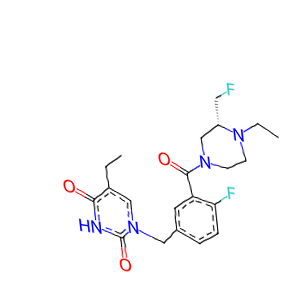 CCc1cn(Cc2ccc(F)c(C(=O)N3CCN(CC)[C@@H](CF)C3)c2)c(=O)[nH]c1=O